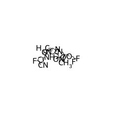 C[C@@H]1Cc2nn3c(c2CN1C(=O)Nc1ccc(F)c(C#N)c1)C(=O)N(C)O[C@@H](COCC(F)F)C3